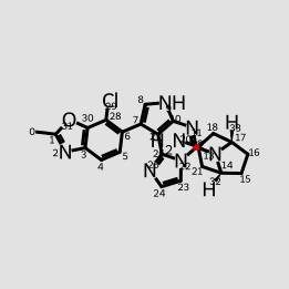 Cc1nc2ccc(-c3c[nH]c4nc(N5[C@@H]6CC[C@H]5CC(N)C6)n5ccnc5c34)c(Cl)c2o1